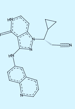 N#CC[C@@H](C1CC1)n1nc(Nc2ccc3ncccc3c2)c2c(=O)[nH]ccc21